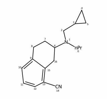 CCCN(CC1CC1)C1CCc2cccc(C#N)c2C1